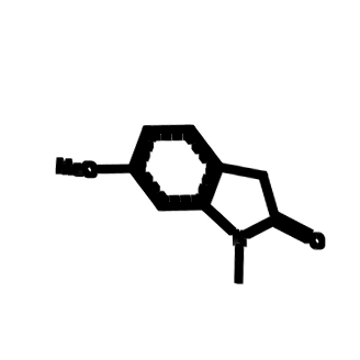 COc1ccc2c(c1)N(C)C(=O)C2